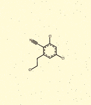 N#Cc1c(Cl)cc(Cl)cc1CCCl